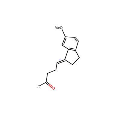 CCC(=O)CC/C=C1\CCc2ccc(OC)cc21